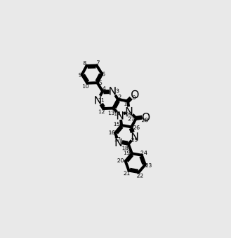 O=c1c2nc(-c3ccccc3)ncc2n2c3cnc(-c4ccccc4)nc3c(=O)n12